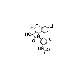 CC(=O)Nc1cc(Cl)cc(N2C(=O)C(O)=C(C(=O)C(C)C)C2c2ccc(Cl)cc2C)c1